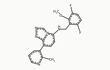 COc1c(F)ccc(F)c1CNc1ccc(-c2cccnc2C)c2nncn12